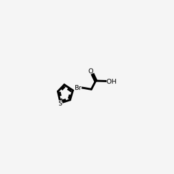 O=C(O)CBr.c1ccsc1